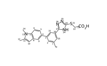 Cc1cc(-c2ccc3c(c2)cc(C)n3C)cc(-c2nnc(SCC(=O)O)[nH]2)c1